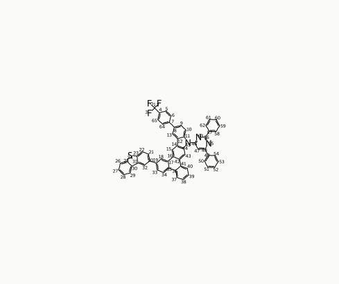 FC(F)(F)c1ccc(-c2ccc3c(c2)c2cc4c5cc(-c6ccc7sc8ccccc8c7c6)ccc5c5ccccc5c4cc2n3-c2cc(-c3ccccc3)nc(-c3ccccc3)n2)cc1